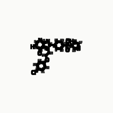 O=c1[nH]cnc2nc(-c3ccc(P(=O)(O)n4ccnc4)cc3)n(CCOc3ccc(Cl)cc3)c12